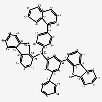 c1ccc(-c2cc(-c3cccc4c3sc3ccccc34)cc(N(c3ccc(-c4cccc5ccccc45)cc3)c3cccc4c3sc3ccccc34)c2)cc1